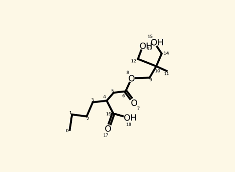 CCCCC(CC(=O)OCC(C)(CO)CO)C(=O)O